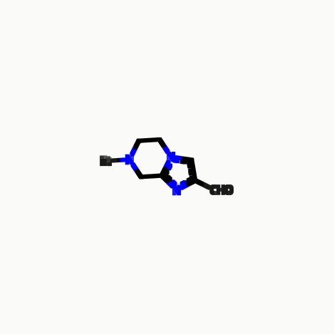 CCN1CCn2cc(C=O)nc2C1